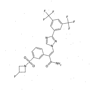 NC(=O)/C(=C/n1cnc(-c2cc(C(F)(F)F)cc(C(F)(F)F)c2)n1)c1cccc(S(=O)(=O)N2CC(F)C2)c1